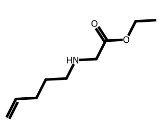 C=CCCCNCC(=O)OCC